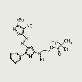 [C-]#[N+]c1c(C(C)(C)C)nsc1/N=N/c1sc(N(CC)CCOC(=O)C(C)(C)CC)nc1-c1ccccc1